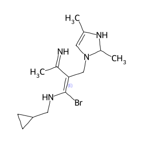 CC(=N)/C(CN1C=C(C)NC1C)=C(/Br)NCC1CC1